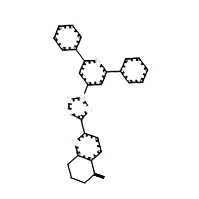 O=C1CCCc2nc(-c3nnn(-c4cc(-c5ccccc5)nc(-c5ccccc5)c4)n3)ccc21